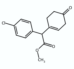 COC(=O)C(C1=CCC(=O)CC1)c1ccc(Cl)cc1